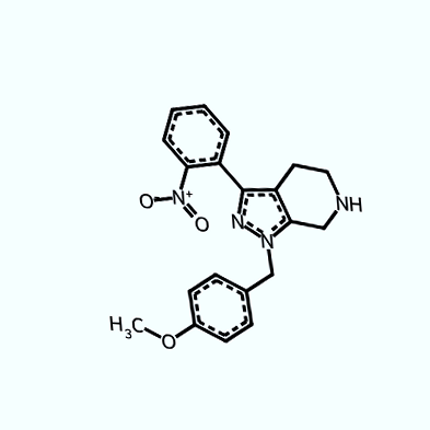 COc1ccc(Cn2nc(-c3ccccc3[N+](=O)[O-])c3c2CNCC3)cc1